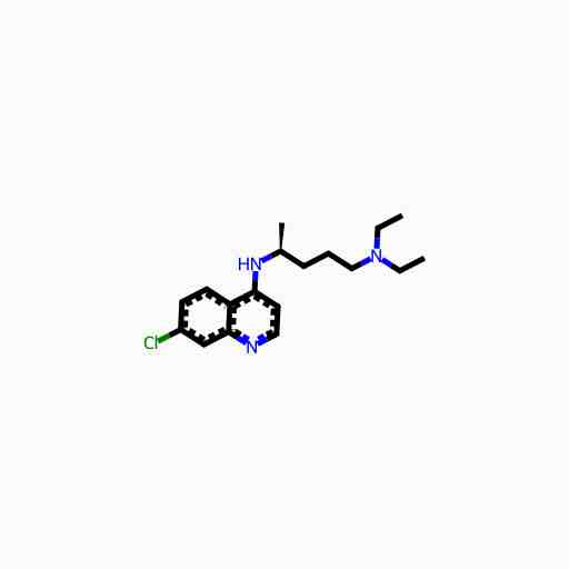 CCN(CC)CCC[C@H](C)Nc1ccnc2cc(Cl)ccc12